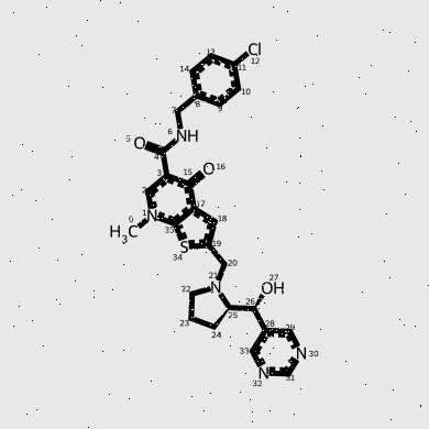 Cn1cc(C(=O)NCc2ccc(Cl)cc2)c(=O)c2cc(CN3CCC[C@@H]3[C@@H](O)c3cncnc3)sc21